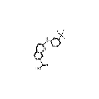 O=C(O)c1ccc2ccc(Nc3cccc(C(F)(F)F)c3)nc2c1